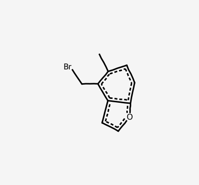 Cc1ccc2occc2c1CBr